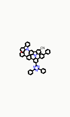 N#Cc1ccc2c(c1)c1cc(-n3c4ccccc4c4ccccc43)ccc1n2-c1c(-c2ccc(-c3ccccc3)cc2)cc(-c2nc(-c3ccccc3)nc(-c3ccccc3)n2)cc1-c1ccc(-c2ccccc2)cc1